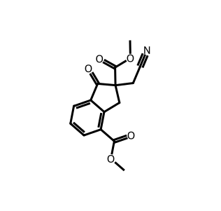 COC(=O)c1cccc2c1CC(CC#N)(C(=O)OC)C2=O